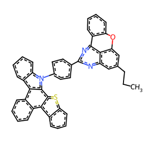 CCCc1cc2c3c(nc(-c4ccc(-n5c6ccccc6c6c7ccccc7c7c8ccccc8sc7c65)cc4)nc3c1)-c1ccccc1O2